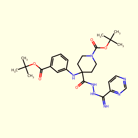 CC(C)(C)OC(=O)c1cccc(NC2(C(=O)NNC(=N)c3ccncn3)CCN(C(=O)OC(C)(C)C)CC2)c1